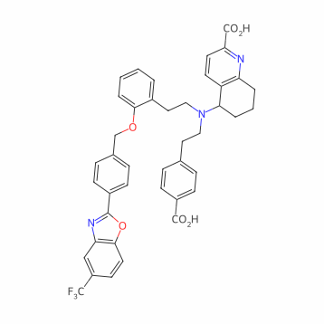 O=C(O)c1ccc(CCN(CCc2ccccc2OCc2ccc(-c3nc4cc(C(F)(F)F)ccc4o3)cc2)C2CCCc3nc(C(=O)O)ccc32)cc1